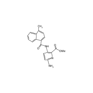 COC(=O)c1nc(N)ccc1NC(=O)c1ccc(C)c2ccccc12